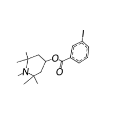 CN1C(C)(C)CC(OC(=O)c2cccc(I)c2)CC1(C)C